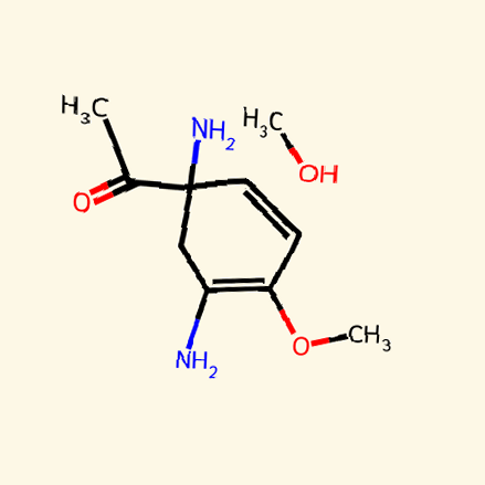 CO.COC1=C(N)CC(N)(C(C)=O)C=C1